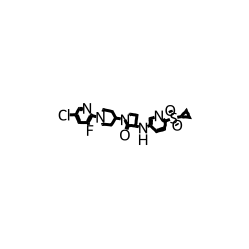 O=C1C(Nc2ccc(S(=O)(=O)C3CC3)nc2)CCN1C1CCN(c2ncc(Cl)cc2F)CC1